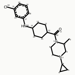 CC1CN(C2CC2)CCN1C(=O)C1CCC(Nc2cccc(Cl)c2)CC1